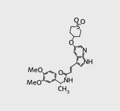 COc1ccc([C@@H](C)NC(=O)/C=C/c2c[nH]c3ncc(OC4CCS(=O)(=O)CC4)cc23)cc1OC